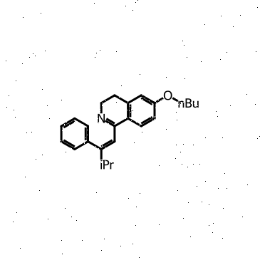 CCCCOc1ccc2c(c1)CCN=C2C=C(c1ccccc1)C(C)C